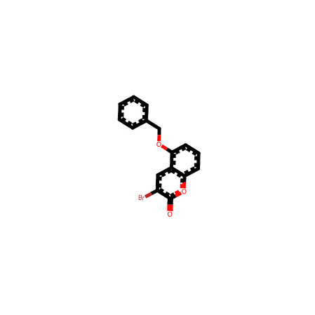 O=c1oc2cccc(OCc3ccccc3)c2cc1Br